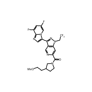 COCCC1CCN(C(=O)c2cc3c(cn2)c(-c2cnc4c(F)cc(F)cn24)nn3CC(F)(F)F)C1